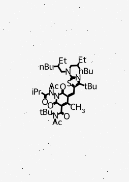 CCCCC(CC)CN(CC(CC)CCCC)c1nc(C(C)(C)C)c(/C=C2\C(=O)N(N(C(C)=O)C(=O)C(C)C)C(=O)C(C(=O)N(C(C)=O)C(C)(C)C)=C2C)s1